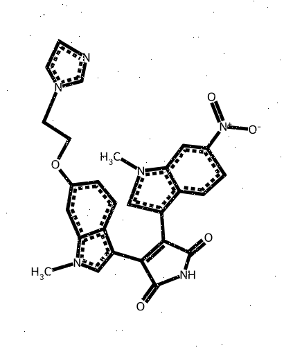 Cn1cc(C2=C(c3cn(C)c4cc([N+](=O)[O-])ccc34)C(=O)NC2=O)c2ccc(OCCn3ccnc3)cc21